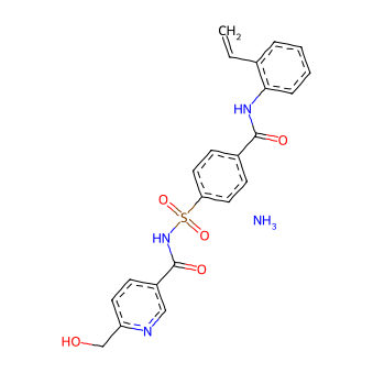 C=Cc1ccccc1NC(=O)c1ccc(S(=O)(=O)NC(=O)c2ccc(CO)nc2)cc1.N